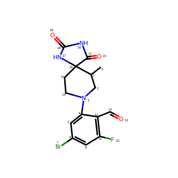 CC1CN(c2cc(Br)cc(F)c2C=O)CCC12NC(=O)NC2=O